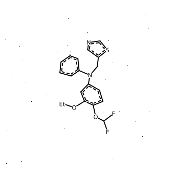 CCOc1cc(N(Cc2cncs2)c2c[c]ccc2)ccc1OC(F)F